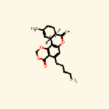 C=C1Oc2cc(CCCCC)c3c(c2[C@@H]2C=C(C)CC[C@@H]12)OCOC3=O